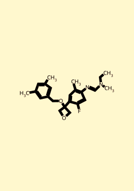 CCN(C)C=Nc1cc(F)c(C2(OCc3cc(C)cc(C)c3)COC2)cc1C